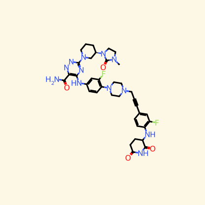 CN1CCN([C@@H]2CCCN(c3nnc(C(N)=O)c(Nc4ccc(N5CCN(CC#Cc6ccc(NC7CCC(=O)NC7=O)c(F)c6)CC5)c(F)c4)n3)C2)C1=O